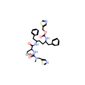 COCC(NC(=O)N(C)Cc1cncs1)C(=O)NC(CCC(Cc1ccccc1)NC(=O)OCc1cncs1)Cc1ccccc1